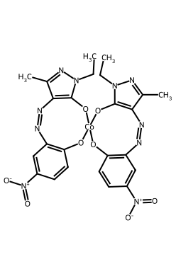 CCn1nc(C)c2c1[O][Co]1([O]c3ccc([N+](=O)[O-])cc3N=N2)[O]c2ccc([N+](=O)[O-])cc2N=Nc2c(C)nn(CC)c2[O]1